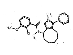 COc1cccc(C(=O)N(C)C2CCCCCc3c2cn(C)c3-c2ccccc2)c1Cl